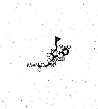 CNC(=O)OCc1nnc(-c2c(O)n(-c3c(OC)cccc3OC)c(CCC3CC3)nc2=O)o1